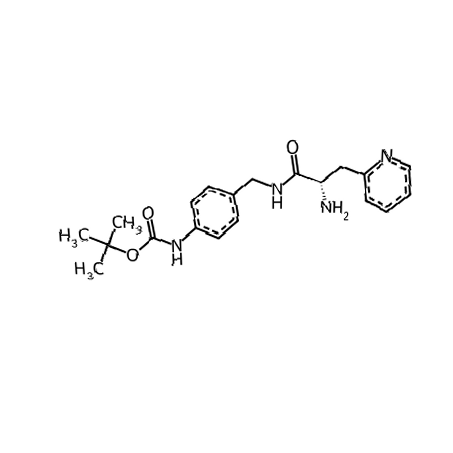 CC(C)(C)OC(=O)Nc1ccc(CNC(=O)[C@@H](N)Cc2ccccn2)cc1